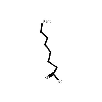 C[CH]C(=O)CCCCCCCCCCC